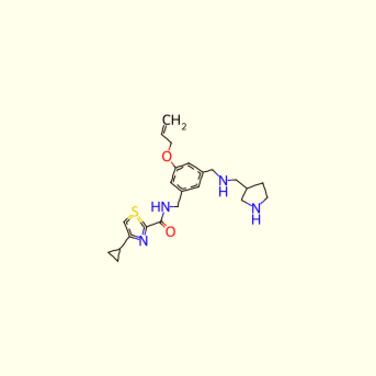 C=CCOc1cc(CNCC2CCNC2)cc(CNC(=O)c2nc(C3CC3)cs2)c1